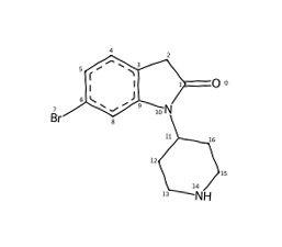 O=C1Cc2ccc(Br)cc2N1C1CCNCC1